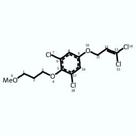 COCCCOc1c(Cl)cc(OCC=C(Cl)Cl)cc1Cl